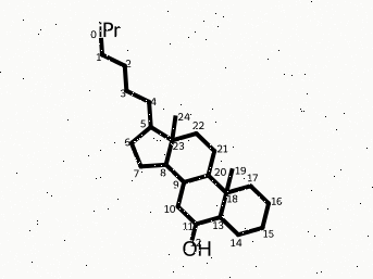 CC(C)CCCCC1CCC2C3CC(O)C4CCCCC4(C)C3CCC12C